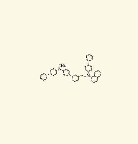 CC(C)(C)N(c1ccc(-c2ccccc2)cc1)c1ccc(-c2cccc(CCN(c3ccc(-c4ccccc4)cc3)c3cccc4ccccc34)c2)cc1